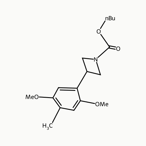 CCCCOC(=O)N1CC(c2cc(OC)c(C)cc2OC)C1